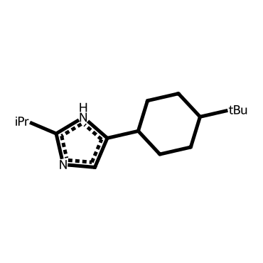 CC(C)c1ncc(C2CCC(C(C)(C)C)CC2)[nH]1